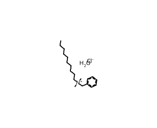 CCCCCCCCCC[N+](C)(C)Cc1ccccc1.O.[Cl-]